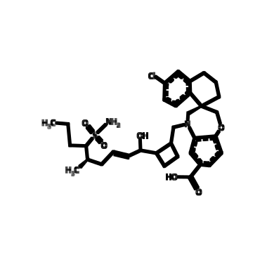 CCCC([C@H](C)C/C=C/C(O)C1CCC1CN1C[C@@]2(CCCc3cc(Cl)ccc32)COc2ccc(C(=O)O)cc21)S(N)(=O)=O